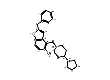 Oc1ccc2oc(Cc3ccccc3)cc2c1CN1CCC(N2CCCC2)CC1